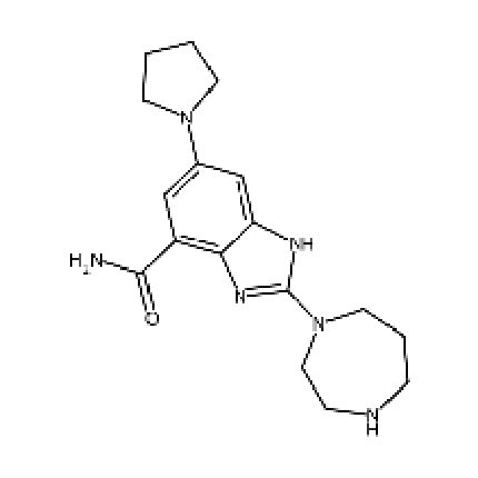 NC(=O)c1cc(N2CCCC2)cc2[nH]c(N3CCCNCC3)nc12